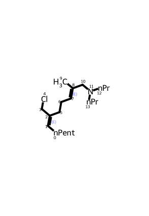 CCCCC/C=C(/CCl)CC/C=C(\C)CN(CCC)CCC